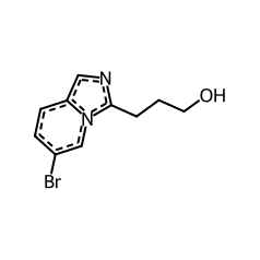 OCCCc1ncc2ccc(Br)cn12